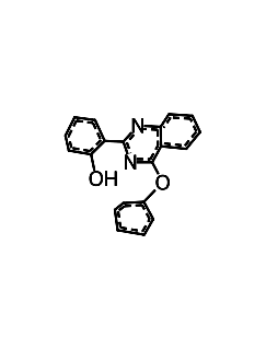 Oc1ccccc1-c1nc(Oc2ccccc2)c2ccccc2n1